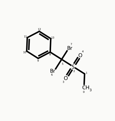 CCS(=O)(=O)C(Br)(Br)c1ccccc1